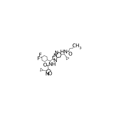 CCCC(=O)N[C@@H](c1cnn2cc([C@@H](NC(=O)c3conc3C3CC3)C3CCC(F)(F)CC3)nc2c1)C1CC1